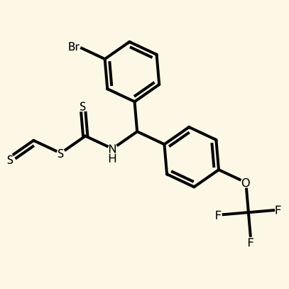 FC(F)(F)Oc1ccc(C(NC(=S)SC=S)c2cccc(Br)c2)cc1